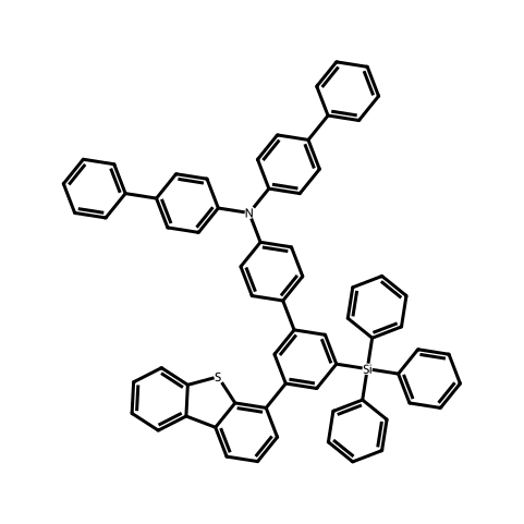 c1ccc(-c2ccc(N(c3ccc(-c4ccccc4)cc3)c3ccc(-c4cc(-c5cccc6c5sc5ccccc56)cc([Si](c5ccccc5)(c5ccccc5)c5ccccc5)c4)cc3)cc2)cc1